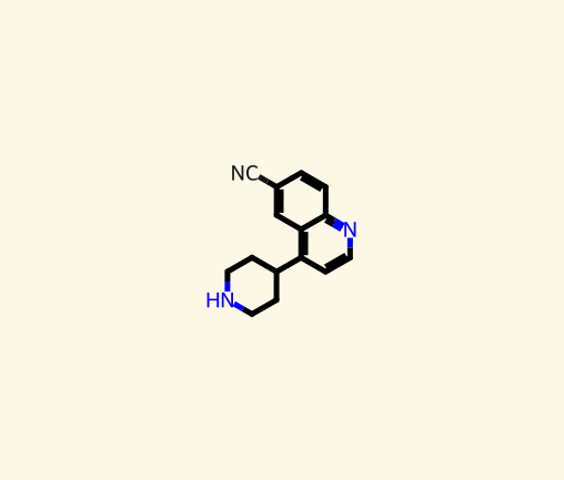 N#Cc1ccc2nccc(C3CCNCC3)c2c1